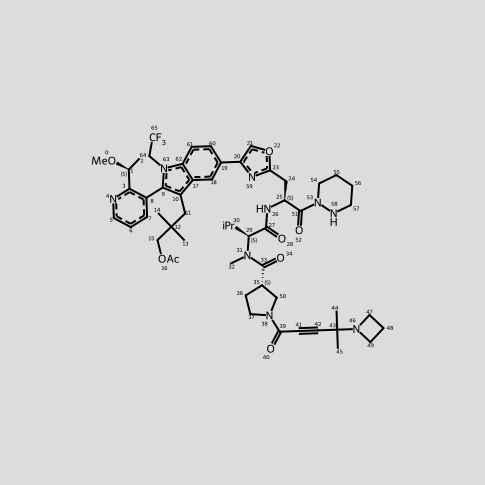 CO[C@@H](C)c1ncccc1-c1c(CC(C)(C)COC(C)=O)c2cc(-c3coc(C[C@H](NC(=O)[C@H](C(C)C)N(C)C(=O)[C@H]4CCN(C(=O)C#CC(C)(C)N5CCC5)C4)C(=O)N4CCCCN4)n3)ccc2n1CC(F)(F)F